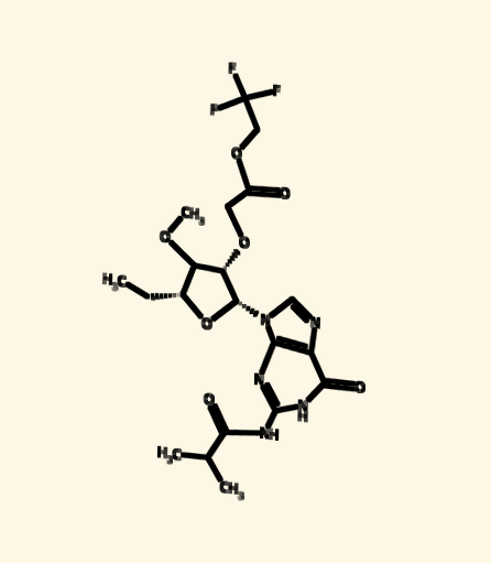 CC[C@H]1O[C@@H](n2cnc3c(=O)[nH]c(NC(=O)C(C)C)nc32)[C@@H](OCC(=O)OCC(F)(F)F)C1OC